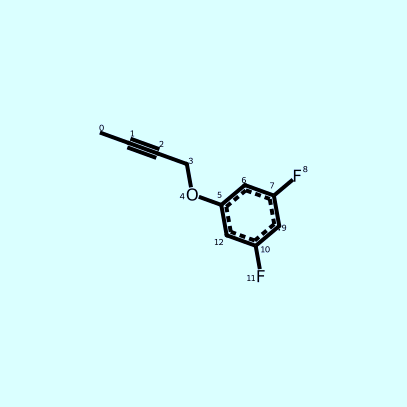 CC#CCOc1cc(F)[c]c(F)c1